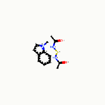 CC(=O)NSNC(C)=O.Cn1ccc2ccccc21